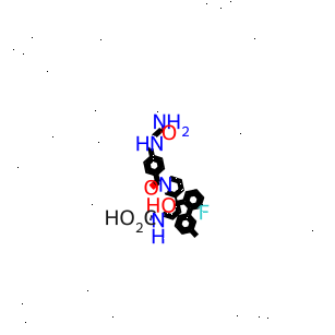 Cc1cccc(-c2c(F)cccc2C(O)(CCCNC(=O)O)[C@@H]2CCCN(C(=O)c3ccc(CNCC(N)=O)cc3)C2)c1